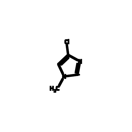 Cn1[c]nc(Cl)c1